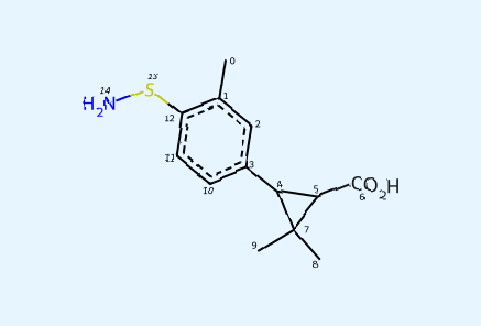 Cc1cc(C2C(C(=O)O)C2(C)C)ccc1SN